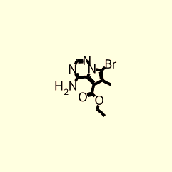 CCOC(=O)c1c(C)c(Br)n2ncnc(N)c12